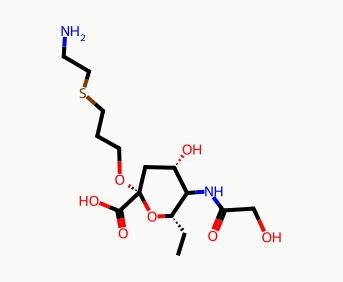 CC[C@@H]1O[C@@](OCCCSCCN)(C(=O)O)C[C@H](O)C1NC(=O)CO